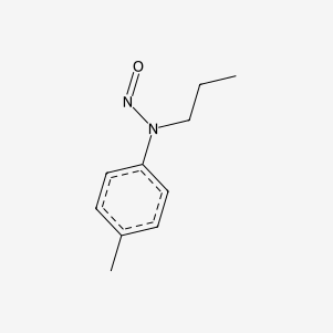 CCCN(N=O)c1ccc(C)cc1